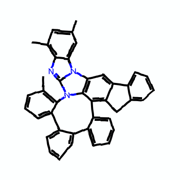 Cc1cc(C)c2nc3n(c2c1)c1cc2c(c4c5ccccc5c5ccccc5c5cccc(C)c5n3c41)Cc1ccccc1-2